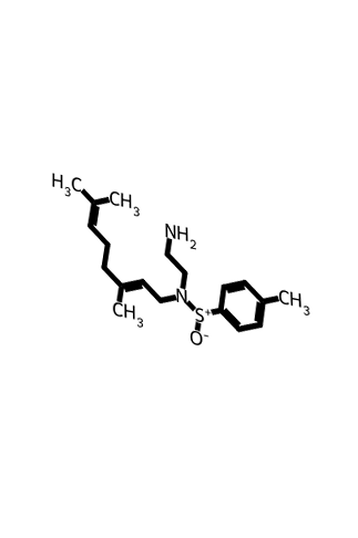 CC(C)=CCC/C(C)=C/CN(CCN)[S+]([O-])c1ccc(C)cc1